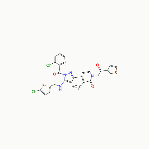 O=C(Cn1ccc(-c2cc(NCc3ccc(Cl)s3)n(C(=O)c3ccccc3Cl)n2)c(C(=O)O)c1=O)c1ccsc1